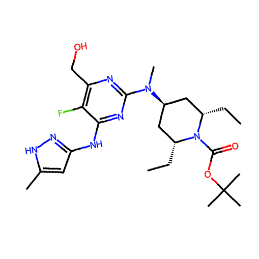 CC[C@@H]1C[C@@H](N(C)c2nc(CO)c(F)c(Nc3cc(C)[nH]n3)n2)C[C@H](CC)N1C(=O)OC(C)(C)C